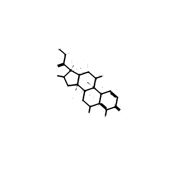 CC1C[C@H]2[C@@H]3CC(F)C4=C(F)C(=O)C=C[C@]4(C)[C@@]3(Cl)C(Cl)C[C@]2(C)[C@@]1(O)C(=O)CCl